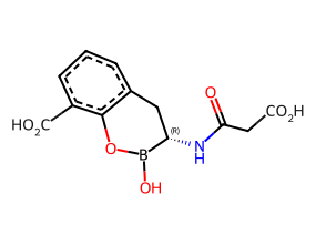 O=C(O)CC(=O)N[C@H]1Cc2cccc(C(=O)O)c2OB1O